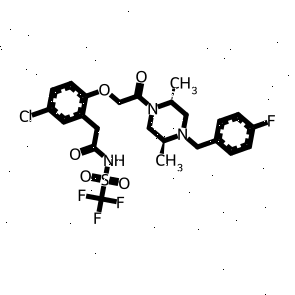 C[C@@H]1CN(Cc2ccc(F)cc2)[C@@H](C)CN1C(=O)COc1ccc(Cl)cc1CC(=O)NS(=O)(=O)C(F)(F)F